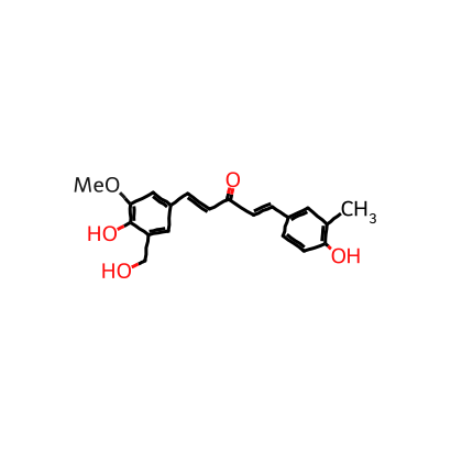 COc1cc(/C=C/C(=O)/C=C/c2ccc(O)c(C)c2)cc(CO)c1O